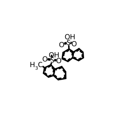 Cc1ccc2ccccc2c1S(=O)(=O)O.O=S(=O)(O)c1cccc2ccccc12